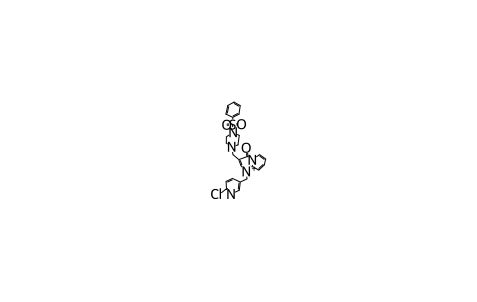 O=c1c(CN2CCN(S(=O)(=O)c3ccccc3)CC2)c[n+](Cc2ccc(Cl)nc2)c2ccccn12